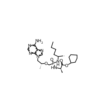 [CH2]C(CCCC)NP(=O)(CO[C@H](C)Cn1cnc2c(N)ncnc21)N[C@H](C)C(=O)OC1CCCCC1